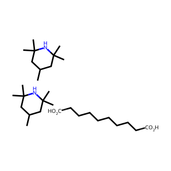 CC1CC(C)(C)NC(C)(C)C1.CC1CC(C)(C)NC(C)(C)C1.O=C(O)CCCCCCCCC(=O)O